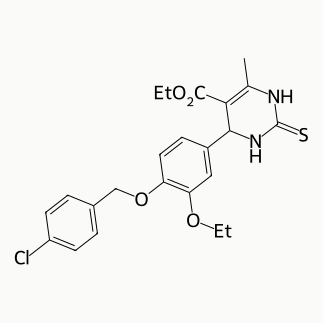 CCOC(=O)C1=C(C)NC(=S)NC1c1ccc(OCc2ccc(Cl)cc2)c(OCC)c1